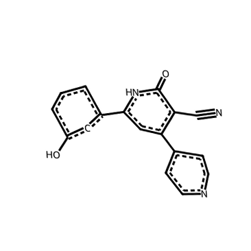 N#Cc1c(-c2ccncc2)cc(-c2cccc(O)c2)[nH]c1=O